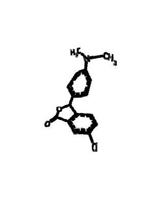 CN(C)c1ccc(C2OC(=O)c3cc(Cl)ccc32)cc1